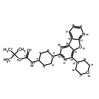 CC(C)(C)OC(=O)NC1CCN(c2nc(N3CCOCC3)c3oc4ncccc4c3n2)CC1